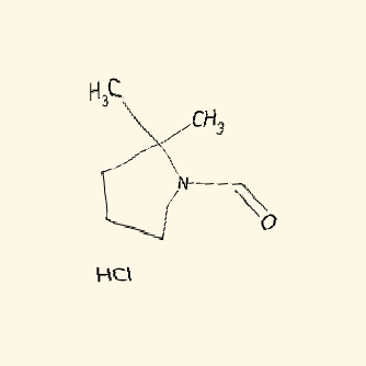 CC1(C)CCCN1C=O.Cl